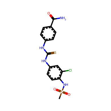 CS(=O)(=O)Nc1ccc(NC(=S)Nc2ccc(C(N)=O)cc2)cc1Cl